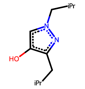 CC(C)Cc1nn(CC(C)C)cc1O